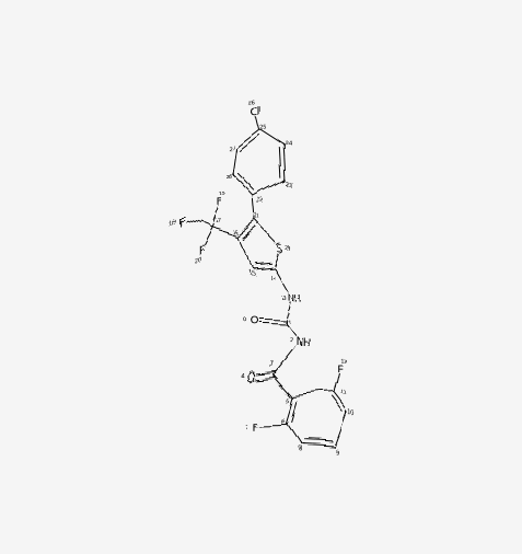 O=C(NC(=O)c1c(F)cccc1F)Nc1cc(C(F)(F)F)c(-c2ccc(Cl)cc2)s1